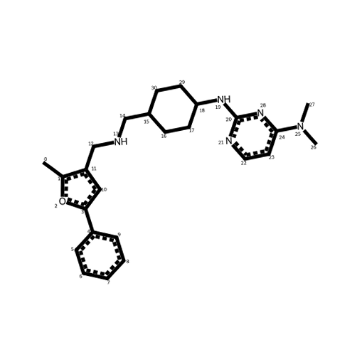 Cc1oc(-c2ccccc2)cc1CNCC1CCC(Nc2nccc(N(C)C)n2)CC1